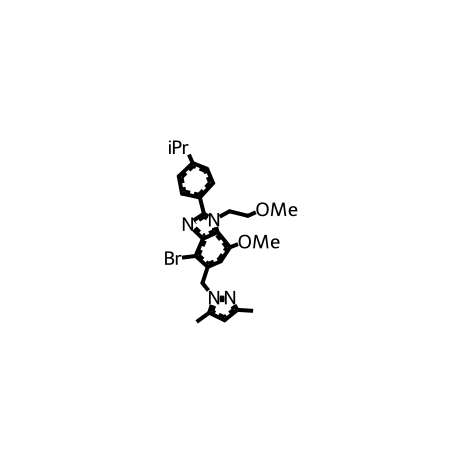 COCCn1c(-c2ccc(C(C)C)cc2)nc2c(Br)c(Cn3nc(C)cc3C)cc(OC)c21